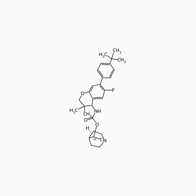 CC(C)(C)c1ccc(-c2cc3c(cc2F)C(NC(=O)O[C@H]2CN4CCC2CC4)C(C)(C)CO3)cc1